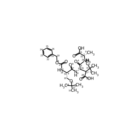 C[C@H](NC(=O)[C@@H](NC(=O)[C@H](COC(C)(C)C)NC(=O)OCc1ccccc1)C(C(=O)O)C(C)(C)C)C(=O)O